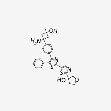 CC1(O)CC(N)(c2ccc(-c3nc(-c4cnc(C5(O)CCOC5)s4)sc3-c3ccccc3)cc2)C1